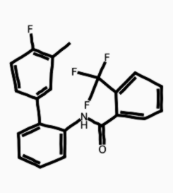 Cc1cc(-c2ccccc2NC(=O)c2ccccc2C(F)(F)F)ccc1F